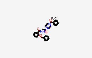 O=C(NCC(=O)N1CCN(C(=O)c2ccccc2C(F)(F)F)CC1)c1ccccc1OCc1ccccc1